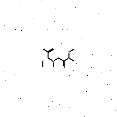 C=C(C)[C@@H](CC)N(C)CC(=O)N(C)OC